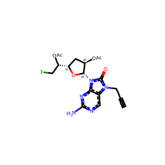 C#CCn1c(=O)n([C@@H]2O[C@H](C(CF)OC(C)=O)C[C@H]2OC(C)=O)c2nc(N)ncc21